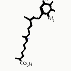 C/C(=C\CCCCC(C)C(=O)O)CCCC(C)CCC1=CC(O)C(C)C(C)C1P